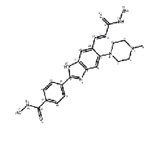 CN1CCN(c2cc3nc(-c4ccc(C(=O)NO)cc4)[nH]c3cc2/C=C/C(=O)NC(C)(C)C)CC1